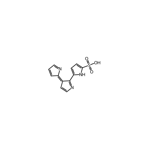 O=S(=O)(O)c1ccc(C2=NC=CC2=C2C=CC=N2)[nH]1